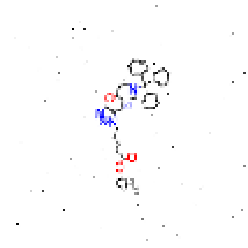 CCOC(=O)CCCCn1nncc1/C=C1/CN(C(c2ccccc2)(c2ccccc2)c2ccccc2)CCC1=O